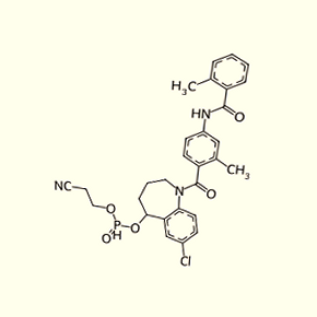 Cc1ccccc1C(=O)Nc1ccc(C(=O)N2CCCC(O[PH](=O)OCCC#N)c3cc(Cl)ccc32)c(C)c1